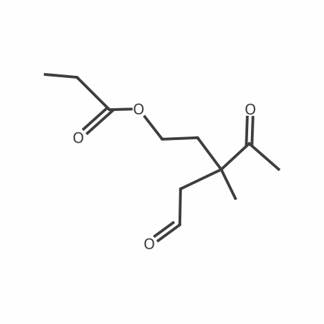 CCC(=O)OCCC(C)(CC=O)C(C)=O